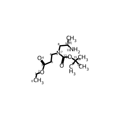 CCOC(=O)CCN(C[C@@H](C)N)C(=O)OC(C)(C)C